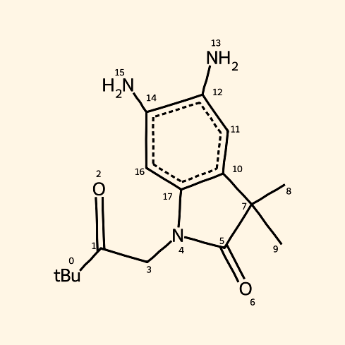 CC(C)(C)C(=O)CN1C(=O)C(C)(C)c2cc(N)c(N)cc21